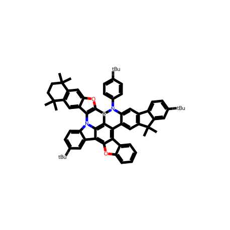 CC(C)(C)c1ccc(N2B3c4oc5cc6c(cc5c4-n4c5ccc(C(C)(C)C)cc5c5c7oc8ccccc8c7c(c3c54)-c3cc4c(cc32)-c2ccc(C(C)(C)C)cc2C4(C)C)C(C)(C)CCC6(C)C)cc1